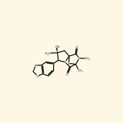 CN1C(=O)C23C[C@](C)(C#N)C(c4ccc5c(c4)OCO5)N2C(=O)C1(C)S3